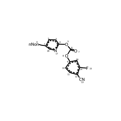 CCCCCCCCCc1ccc(OC(=O)Oc2ccc(C#N)c(F)c2)nc1